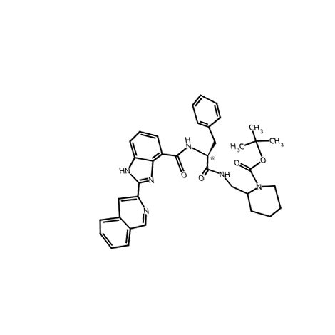 CC(C)(C)OC(=O)N1CCCCC1CNC(=O)[C@H](Cc1ccccc1)NC(=O)c1cccc2[nH]c(-c3cc4ccccc4cn3)nc12